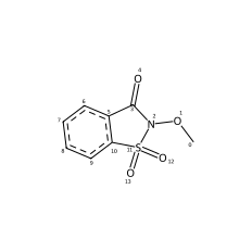 CON1C(=O)c2ccccc2S1(=O)=O